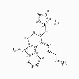 C=CCO/N=C1\c2c(n(C)c3ccccc23)CCC1Cn1ccnc1C